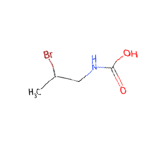 CC(Br)CNC(=O)O